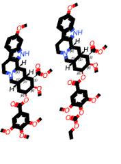 CCOC(=O)Oc1c(OC)cc(C(=O)O[C@@H]2C[C@@H]3CN4CCc5c([nH]c6cc(OC)ccc56)[C@H]4C[C@@H]3[C@H](C(=O)OC)[C@H]2OC)cc1OC.COC(=O)[C@H]1[C@H]2C[C@@H]3c4[nH]c5cc(OC)ccc5c4CCN3C[C@H]2C[C@@H](OC(=O)c2cc(OC)c(OC)c(OC)c2)[C@@H]1OC